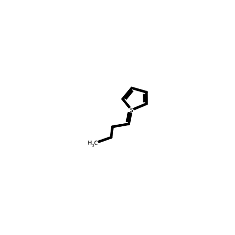 CCCC=S1C=CC=C1